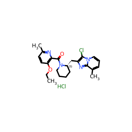 CCOc1ccc(C)nc1C(=O)N1CCCC[C@H]1Cc1nc2c(C)cccn2c1Cl.Cl